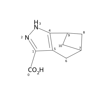 O=C(O)c1n[nH]c2c1CC1CC2C1